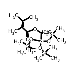 CCC(OC(=O)C(C)=C(C)C)[Si](O[Si](C)(C)C)(O[Si](C)(C)C)O[Si](C)(C)C